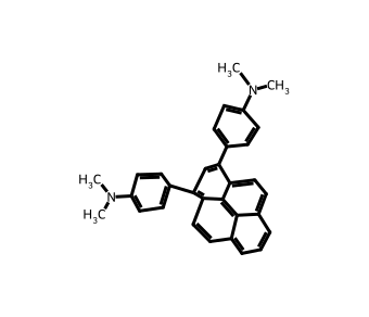 CN(C)c1ccc(-c2cc(-c3ccc(N(C)C)cc3)c3ccc4cccc5ccc2c3c54)cc1